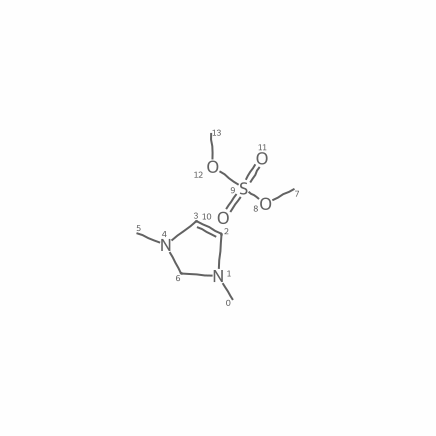 CN1C=CN(C)C1.COS(=O)(=O)OC